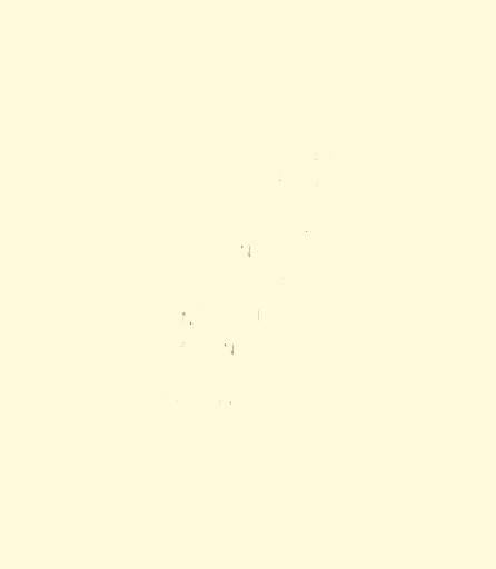 O=C(O)c1cnc(Cc2nc(-c3ccc(F)cc3)oc2I)cn1